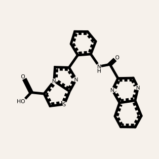 O=C(Nc1ccccc1-c1cn2c(C(=O)O)csc2n1)c1cnc2ccccc2n1